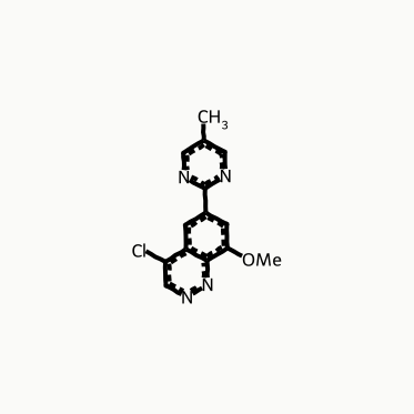 COc1cc(-c2ncc(C)cn2)cc2c(Cl)cnnc12